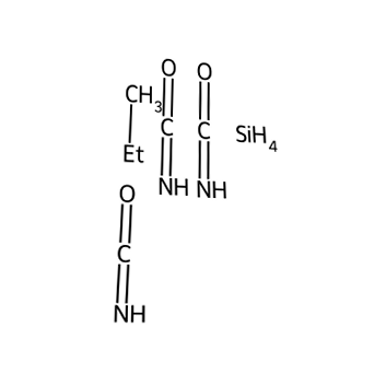 CCC.N=C=O.N=C=O.N=C=O.[SiH4]